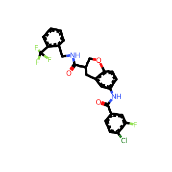 O=C(Nc1ccc2c(c1)CC(C(=O)NCc1ccccc1C(F)(F)F)CO2)c1ccc(Cl)c(F)c1